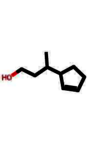 CC(CCO)C1C=CCC1